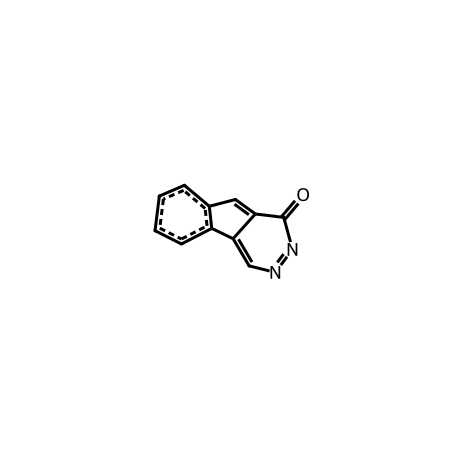 O=C1N=NC=C2C1=Cc1ccccc12